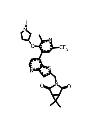 Cc1nc(C(F)(F)F)cc(-c2ccnc3cc(CN4C(=O)C5C(C4=O)C5(C)C)sc23)c1O[C@H]1CCN(I)C1